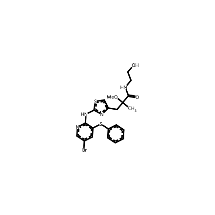 COC(C)(Cc1csc(Nc2ncc(Br)cc2Sc2ccccc2)n1)C(=O)NCCO